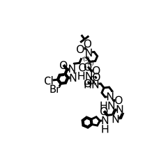 CC(C)(C)OC(=O)N1CCC[C@@H](OC(=O)NS(=O)(=O)NCC2CCN(C(=O)Nc3nccnc3C(=O)NC3Cc4ccccc4C3)CC2)[C@@H]1CC(=O)Cn1cnc2cc(Br)c(Cl)cc2c1=O